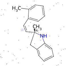 Cc1ccccc1/C=C\[C@@]1(C)Cc2ccccc2N1